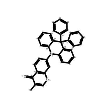 Cc1coc2cc(N3c4ccccc4C(c4ccccc4)(c4ccccc4)c4ccccc43)ccc2c1=O